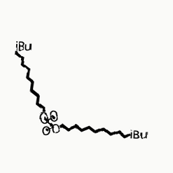 CCC(C)CCCCCCCCCCOS(=O)(=O)OCCCCCCCCCCC(C)CC